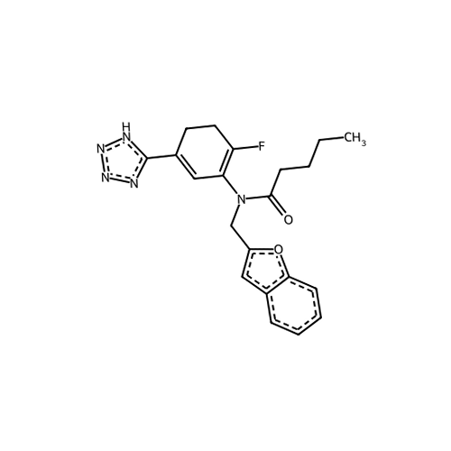 CCCCC(=O)N(Cc1cc2ccccc2o1)C1=C(F)CCC(c2nnn[nH]2)=C1